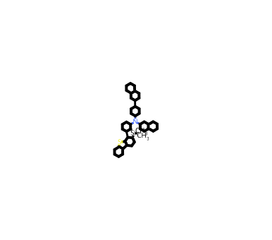 C[Si]1(C)c2ccc3c(sc4ccccc43)c2-c2cccc(N(c3ccc(-c4ccc5ccccc5c4)cc3)c3ccc4ccccc4c3)c21